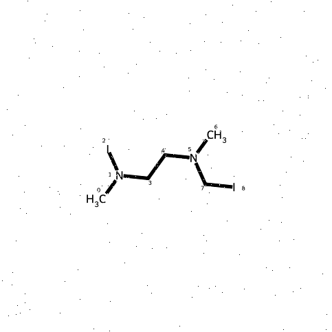 CN(I)CCN(C)CI